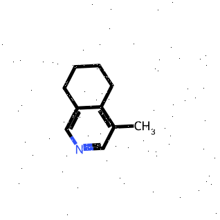 Cc1cncc2c1CCCC2